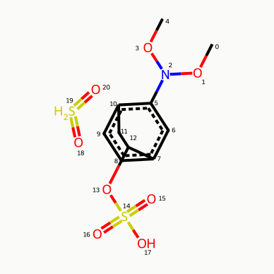 CON(OC)c1cc2ccc1CC2OS(=O)(=O)O.O=[SH2]=O